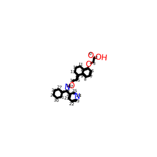 O=C(O)COc1cccc2c1CCCC2=CCON=C(c1cccnc1)C1CCCCC1